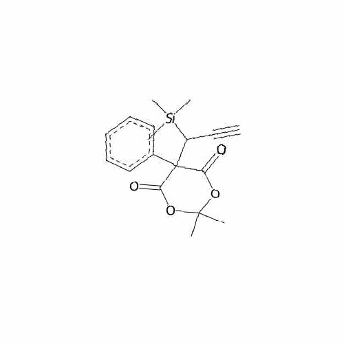 C#CC(C1(c2ccccc2)C(=O)OC(C)(C)OC1=O)[Si](C)(C)C